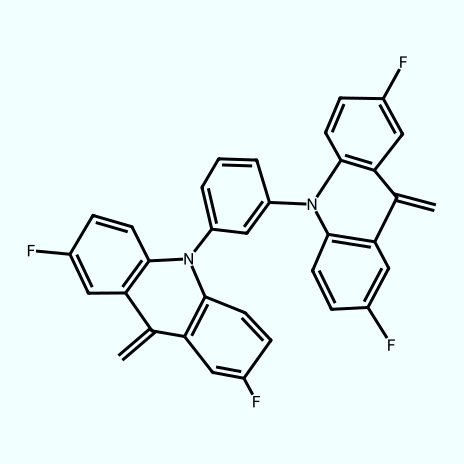 C=C1c2cc(F)ccc2N(c2cccc(N3c4ccc(F)cc4C(=C)c4cc(F)ccc43)c2)c2ccc(F)cc21